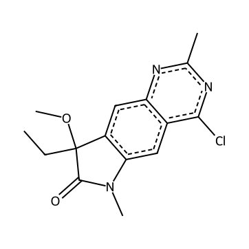 CCC1(OC)C(=O)N(C)c2cc3c(Cl)nc(C)nc3cc21